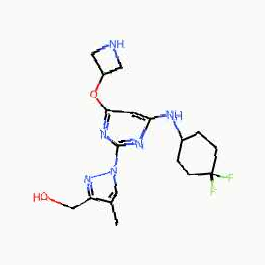 Cc1cn(-c2nc(NC3CCC(F)(F)CC3)cc(OC3CNC3)n2)nc1CO